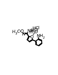 CON=C(N)c1ccc(-c2ccccc2N)o1.Cl.Cl.O